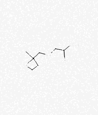 CCCCC(CC)COCC1(C)CCO1